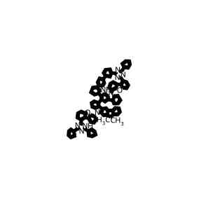 CC1(C)c2ccccc2-c2cc3c4c(-c5cc6c7ccccc7n(-c7cccc8c7oc7cccc(-c9nc(-c%10ccccc%10)nc(-c%10cccc(-c%11ccccc%11)c%10)n9)c78)c6c6c5C5C=CC=CC5N6)cccc4n(-c4cccc5c4oc4cccc(C6N=C(c7ccccc7)N=C(c7ccccc7)N6)c45)c3cc21